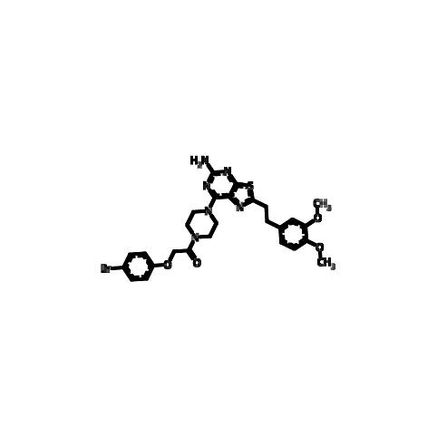 COc1ccc(CCc2nc3c(N4CCN(C(=O)COc5ccc(Br)cc5)CC4)nc(N)nc3s2)cc1OC